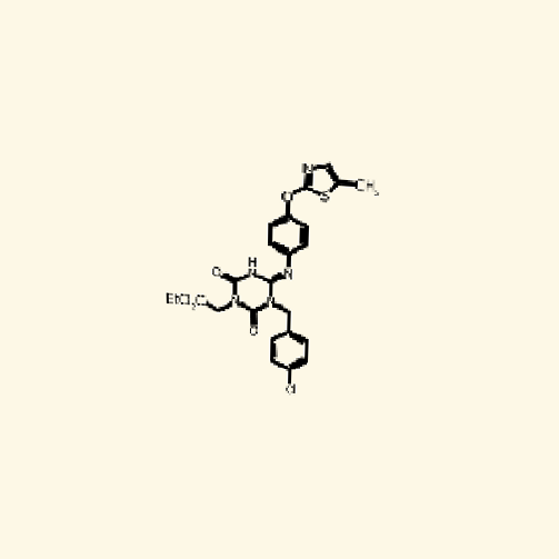 CCOC(=O)Cn1c(=O)[nH]/c(=N\c2ccc(Oc3ncc(C)s3)cc2)n(Cc2ccc(Cl)cc2)c1=O